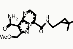 COCc1nn2c(C(=O)NCC3CC3(C)C)ccnc2c1C(N)=O